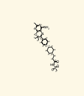 Cc1nc(N)c2c(n1)OC(C)(C)C(c1ccc([C@H]3CC[C@H](CCC(=O)NS(C)(=O)=O)CC3)cc1)=N2